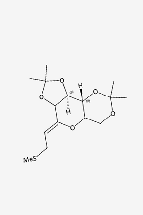 CSCC=C1OC2COC(C)(C)O[C@H]2[C@@H]2OC(C)(C)OC12